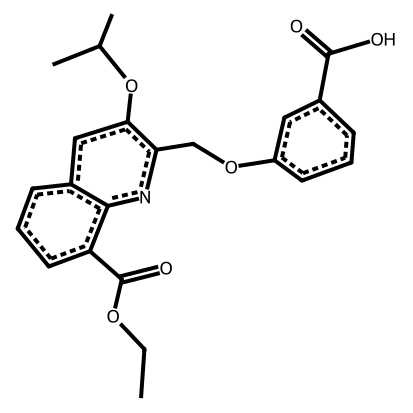 CCOC(=O)c1cccc2cc(OC(C)C)c(COc3cccc(C(=O)O)c3)nc12